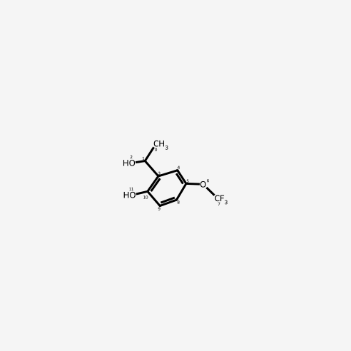 CC(O)c1cc(OC(F)(F)F)ccc1O